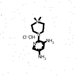 C[N+]1(C)CCN(c2ncc(N)cc2N)CC1.Cl.[Cl-]